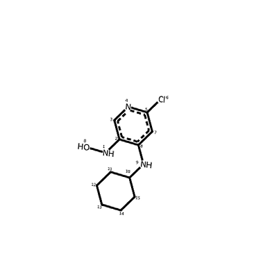 ONc1cnc(Cl)cc1NC1CCCCC1